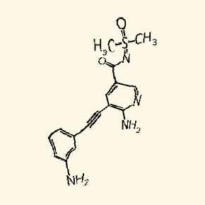 CS(C)(=O)=NC(=O)c1cnc(N)c(C#Cc2cccc(N)c2)c1